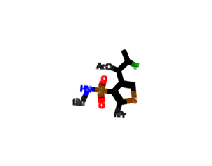 CCCc1scc(C(OC(C)=O)C(C)F)c1S(=O)(=O)NC(C)(C)C